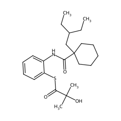 CCC(CC)CC1(C(=O)Nc2ccccc2SC(=O)C(C)(C)O)CCCCC1